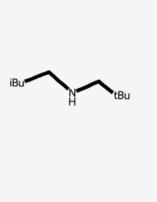 CCC(C)CNCC(C)(C)C